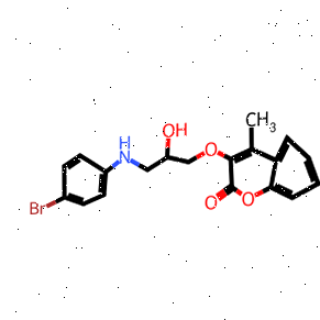 Cc1c(OCC(O)CNc2ccc(Br)cc2)c(=O)oc2ccccc12